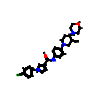 N#CC1CN(c2ccc(NC(=O)c3ccn(-c4ccc(Cl)cc4)c3)cc2)CCC1N1CCOCC1